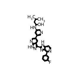 CC(C)CC(O)Nc1cncc(-c2cnc3[nH]nc(-c4nc5c(-c6cccc(F)c6)nccc5[nH]4)c3c2)c1